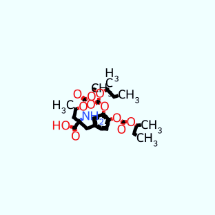 CCC(C)OC(=O)Oc1ccc(CC(N)(C[C@H](C)OC(=O)OC)C(=O)O)cc1OC(=O)OC(C)CC